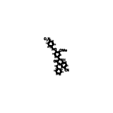 COc1cc([C@@H](Nc2ccc(C#N)cc2)C(=O)NCc2ccccc2)ccc1OCc1ccc([N+](=O)[O-])cc1